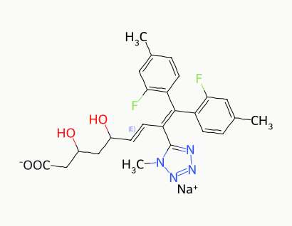 Cc1ccc(C(=C(/C=C/C(O)CC(O)CC(=O)[O-])c2nnnn2C)c2ccc(C)cc2F)c(F)c1.[Na+]